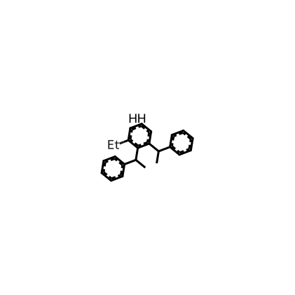 CCc1cccc(C(C)c2ccccc2)c1C(C)c1ccccc1.[HH]